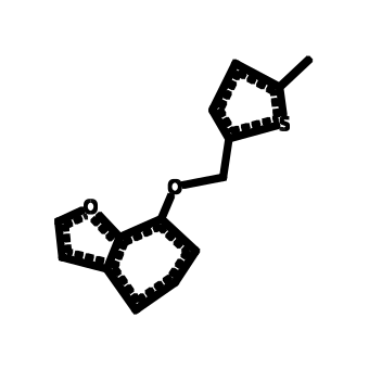 Cc1ccc(COc2cccc3ccoc23)s1